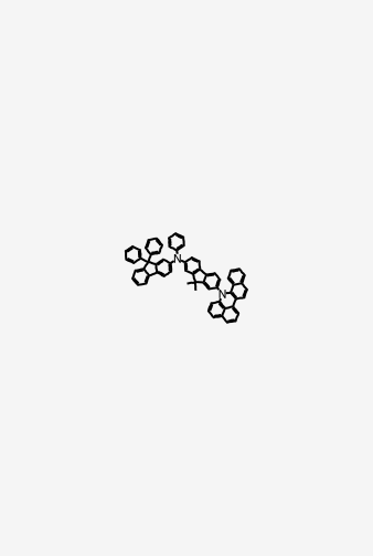 CC1(C)c2cc(N(c3ccccc3)c3ccc4c(c3)C(c3ccccc3)(c3ccccc3)c3ccccc3-4)ccc2-c2ccc(N3c4c(ccc5ccccc45)-c4cccc5cccc3c45)cc21